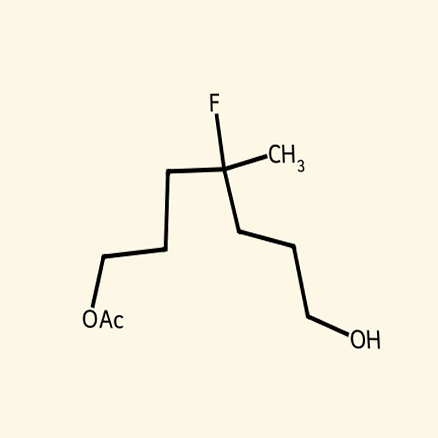 CC(=O)OCCCC(C)(F)CCCO